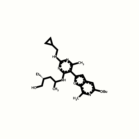 CC[C@@H](CO)CC(C)Nc1nc(NCC2CC2)nc(C)c1-c1cc2cc(OCC(C)C)nc(C)c2o1